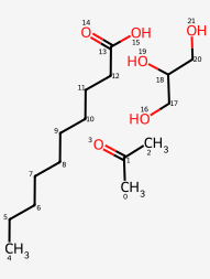 CC(C)=O.CCCCCCCCCC(=O)O.OCC(O)CO